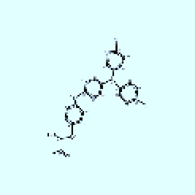 C=C(C)C(O)Oc1ccc(Oc2ccc(N(c3ccc(C)cc3)c3ccc(C)cc3)cc2)cc1